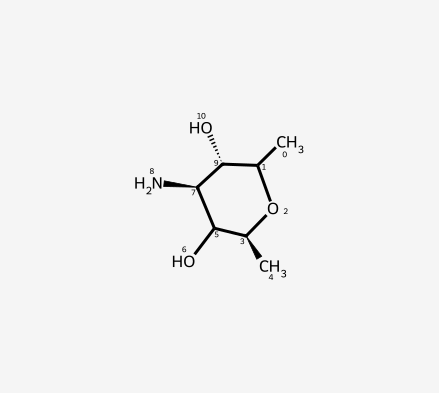 CC1O[C@@H](C)C(O)[C@@H](N)[C@@H]1O